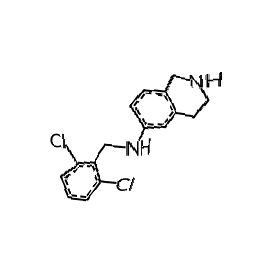 Clc1cccc(Cl)c1CNc1ccc2c(c1)CCNC2